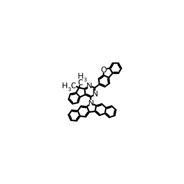 CC1(C)c2ccccc2-c2c(-n3c4cc5ccccc5cc4c4cc5ccccc5cc43)nc(-c3ccc4c(c3)oc3ccccc34)nc21